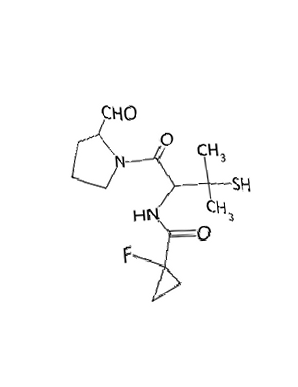 CC(C)(S)C(NC(=O)C1(F)CC1)C(=O)N1CCCC1C=O